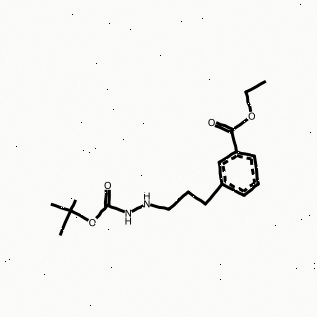 CCOC(=O)c1cccc(CCCNNC(=O)OC(C)(C)C)c1